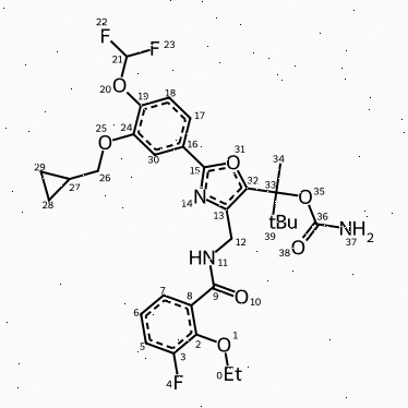 CCOc1c(F)cccc1C(=O)NCc1nc(-c2ccc(OC(F)F)c(OCC3CC3)c2)oc1C(C)(OC(N)=O)C(C)(C)C